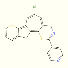 ClC1=CC2=C3SC=CC=C3CC2=C2SC(c3ccncc3)=NCC2=C1